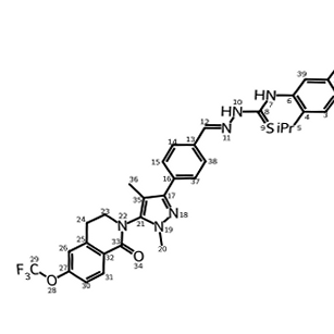 Cc1ccc(C(C)C)c(NC(=S)N/N=C/c2ccc(-c3nn(C)c(N4CCc5cc(OC(F)(F)F)ccc5C4=O)c3C)cc2)c1